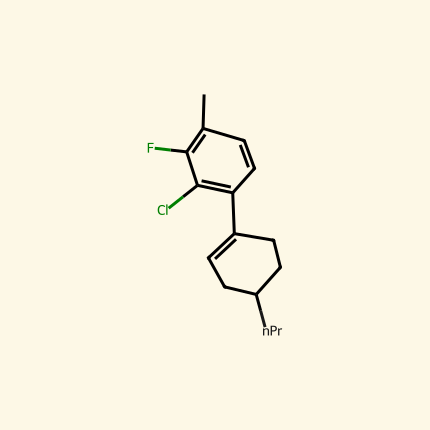 CCCC1CC=C(c2ccc(C)c(F)c2Cl)CC1